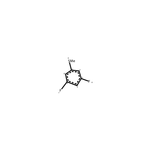 CSc1cc(F)[c]c(F)c1